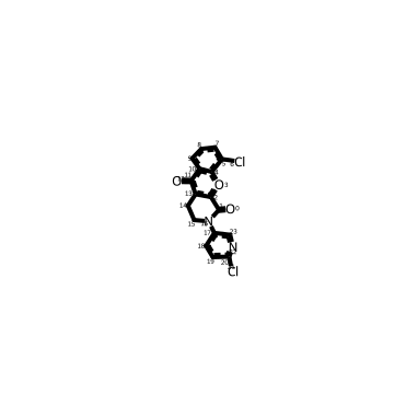 O=C1c2oc3c(Cl)cccc3c(=O)c2CCN1c1ccc(Cl)nc1